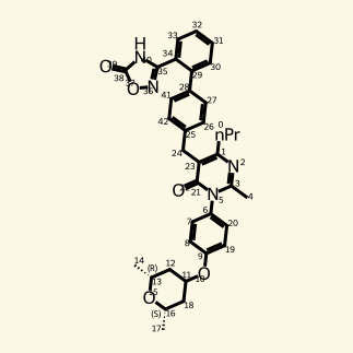 CCCc1nc(C)n(-c2ccc(OC3C[C@@H](C)O[C@@H](C)C3)cc2)c(=O)c1Cc1ccc(-c2ccccc2-c2noc(=O)[nH]2)cc1